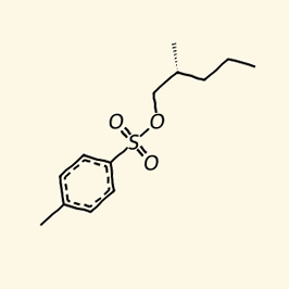 CCC[C@@H](C)COS(=O)(=O)c1ccc(C)cc1